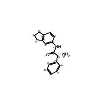 N[C@@H](C(=O)Nc1ccc2c(c1)CCC2)c1ccccc1